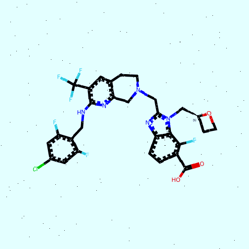 O=C(O)c1ccc2nc(CN3CCc4cc(C(F)(F)F)c(NCc5c(F)cc(Cl)cc5F)nc4C3)n(C[C@@H]3CCO3)c2c1F